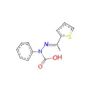 C/C(=N\N(C(=O)O)c1ccccc1)c1cccs1